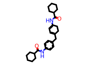 O=C(NC1=CC=C(Cc2ccc(NC(=O)C3CCCCC3)cc2)CC1)C1CCCCC1